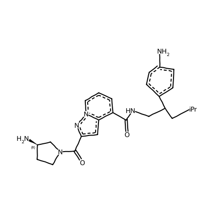 CC(C)CC(CNC(=O)c1cccn2nc(C(=O)N3CC[C@@H](N)C3)cc12)c1ccc(N)cc1